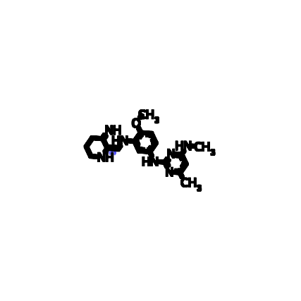 CNc1cc(C)nc(Nc2ccc(OC)c(N/C=C3/NCCCC3=N)c2)n1